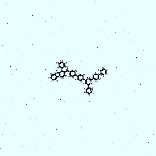 c1ccc(-c2ccc(-c3nc(-c4ccc(-c5ccc(-c6nc7ccccc7c7c6ccc6c8ccccc8sc67)cc5)cc4)cc(-c4ccccn4)n3)cc2)cc1